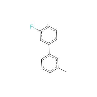 Cc1cccc(-c2cc[c]c(F)c2)c1